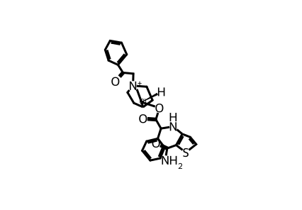 NC(=O)c1sccc1NC(C(=O)O[C@H]1C[N+]2(CC(=O)c3ccccc3)CCC1CC2)c1ccccc1